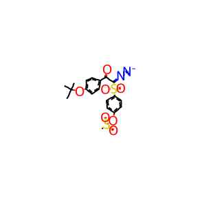 CC(C)(C)Oc1ccc(C(=O)C(=[N+]=[N-])S(=O)(=O)c2ccc(OS(C)(=O)=O)cc2)cc1